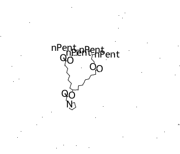 CCCCCC(CCCCC)CCOC(=O)CCCCCCCC(CCCCCCCC(=O)OCCC(CCCCC)CCCCC)OC(=O)CN1CCCC1